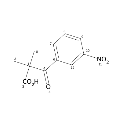 CC(C)(C(=O)O)C(=O)c1cccc([N+](=O)[O-])c1